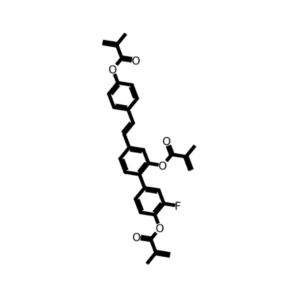 C=C(C)C(=O)Oc1ccc(/C=C/c2ccc(-c3ccc(OC(=O)C(=C)C)c(F)c3)c(OC(=O)C(=C)C)c2)cc1